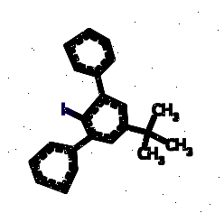 CC(C)(C)c1cc(-c2ccccc2)c(I)c(-c2ccccc2)c1